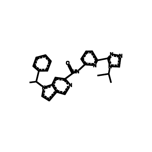 CC(C)n1cnnc1-c1cccc(NC(=O)c2cc3c(ccn3C(C)c3ccccc3)cn2)n1